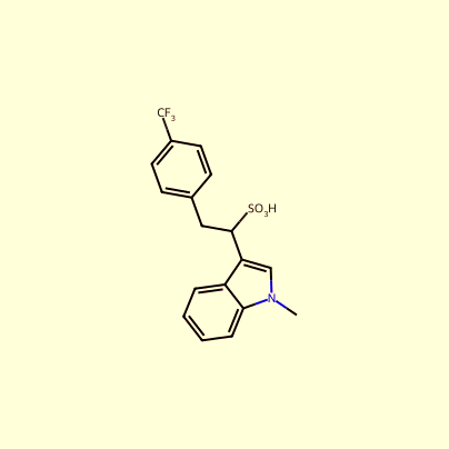 Cn1cc(C(Cc2ccc(C(F)(F)F)cc2)S(=O)(=O)O)c2ccccc21